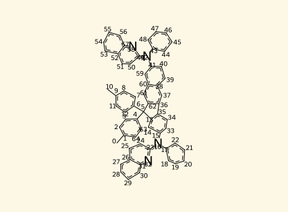 Cc1ccc(C2(c3ccc(C)cc3)c3cc(N(c4ccccc4)c4ccc5ccccc5n4)ccc3-c3cc4ccc(N(c5ccccc5)c5ccc6ccccc6n5)cc4cc32)cc1